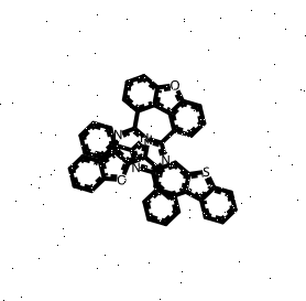 c1ccc(-c2nc(-c3ccccc3)nc(-c3cccc4oc5cccc(-c6nc(-c7ccc8c(c7)sc7ccccc78)c7oc8ccccc8c7n6)c5c34)n2)cc1